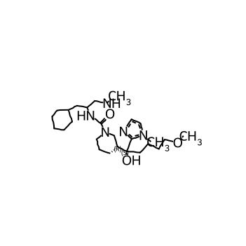 CNCC(CC1CCCCC1)NC(=O)N1CCC[C@@H]([C@@](O)(CCCCOC)c2nccn2C)C1